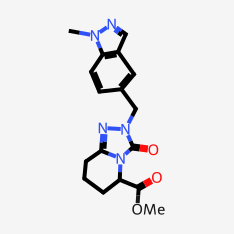 COC(=O)C1CCCc2nn(Cc3ccc4c(cnn4C)c3)c(=O)n21